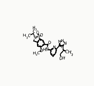 COc1cc2c(cc1C(=O)Nc1cccc(-c3nnnn3C(C)CO)n1)S(=O)(=O)N(C(C)C)C2